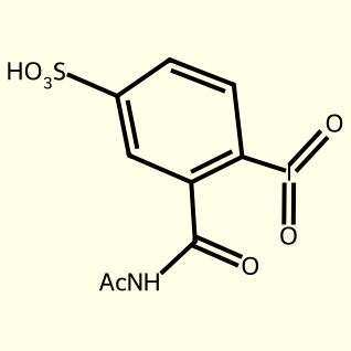 CC(=O)NC(=O)c1cc(S(=O)(=O)O)ccc1I(=O)=O